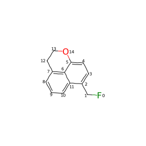 FCc1ccc2c3c(cccc13)CCO2